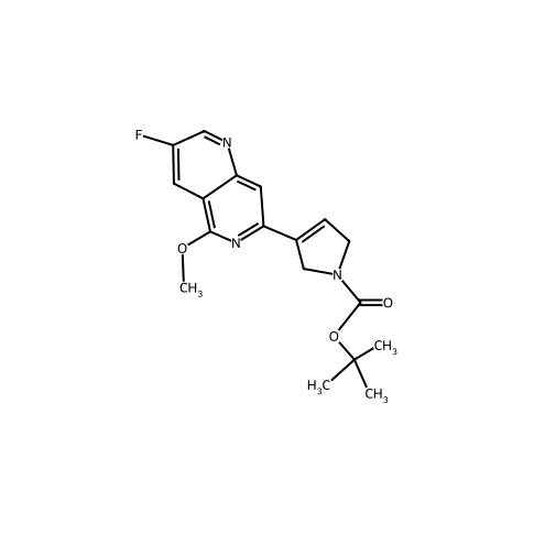 COc1nc(C2=CCN(C(=O)OC(C)(C)C)C2)cc2ncc(F)cc12